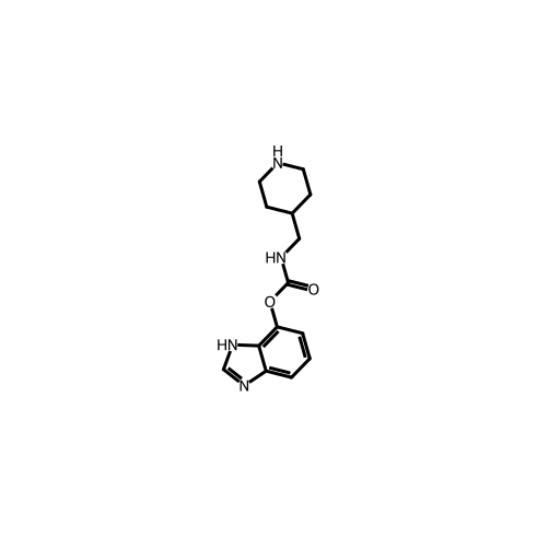 O=C(NCC1CCNCC1)Oc1cccc2nc[nH]c12